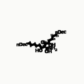 CCCCCCCCCCCCCCC[C@@H](O)[C@H](C(=O)C(O)CCCCCCCCCCCCCC)C(N)O